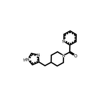 O=C(c1ccccn1)N1CCC(Cc2c[nH]cn2)CC1